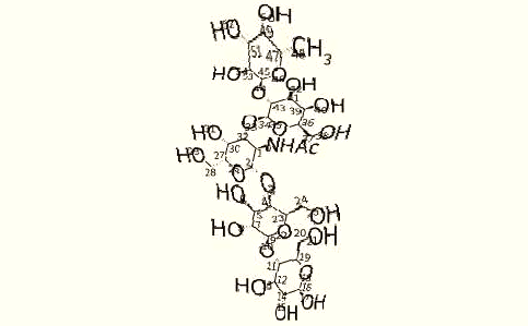 CC(=O)N[C@H]1[C@H](O[C@@H]2[C@H](O)[C@@H](O)[C@H](O[C@H]3[C@H](O)[C@@H](O)[C@H](O)O[C@@H]3CO)O[C@@H]2CO)O[C@H](CO)[C@H](O)[C@@H]1O[C@@H]1O[C@H](CO)[C@H](O)[C@H](O)[C@H]1O[C@@H]1O[C@@H](C)[C@@H](O)[C@@H](O)[C@@H]1O